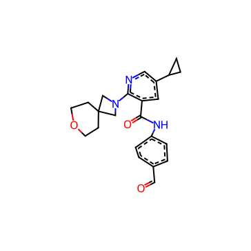 O=Cc1ccc(NC(=O)c2cc(C3CC3)cnc2N2CC3(CCOCC3)C2)cc1